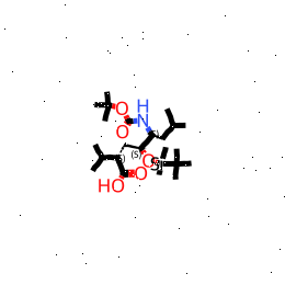 CC(C)C[C@H](NC(=O)OC(C)(C)C)[C@H](C[C@H](C(=O)O)C(C)C)O[Si](C)(C)C(C)(C)C